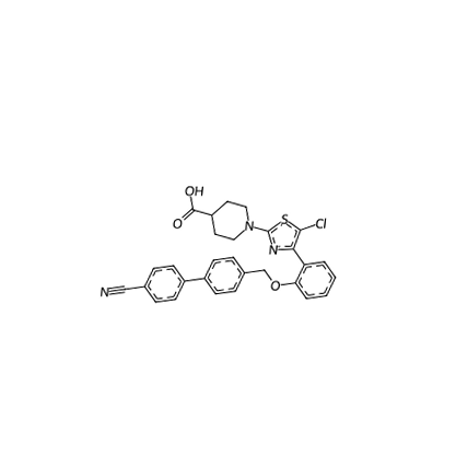 N#Cc1ccc(-c2ccc(COc3ccccc3-c3nc(N4CCC(C(=O)O)CC4)sc3Cl)cc2)cc1